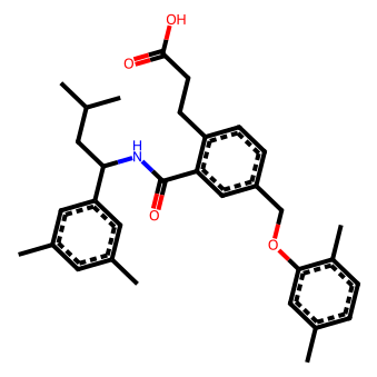 Cc1cc(C)cc(C(CC(C)C)NC(=O)c2cc(COc3cc(C)ccc3C)ccc2CCC(=O)O)c1